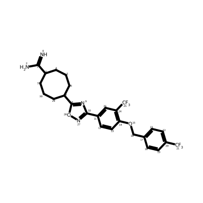 N=C(N)C1CCCC(c2nc(-c3ccc(OCc4ccc(C(F)(F)F)cc4)c(C(F)(F)F)c3)no2)CCC1